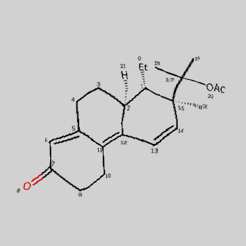 CC[C@H]1[C@@H]2CCC3=CC(=O)CCC3=C2C=C[C@]1(C)C(C)(C)OC(C)=O